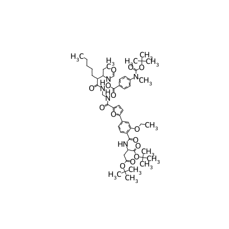 CCCCCC(C(=O)NCNC(=O)c1ccc(-c2ccc(C(=O)NC(CC(=O)OC(C)(C)C)C(=O)OC(C)(C)C)c(OCC)c2)o1)C(CC)N(C=O)OC(=O)c1ccc(N(C)C(=O)OC(C)(C)C)cc1